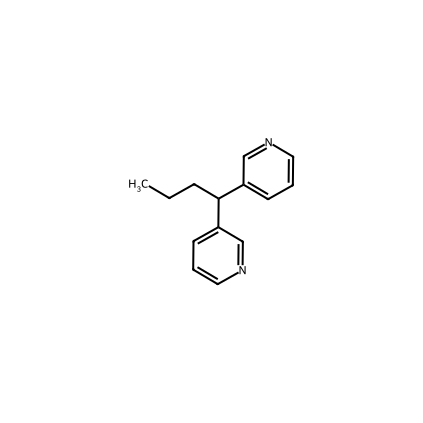 CCCC(c1cccnc1)c1cccnc1